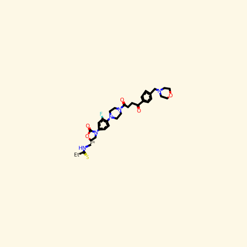 CCC(=S)NC[C@H]1CN(c2ccc(N3CCN(C(=O)CCC(=O)c4ccc(CN5CCOCC5)cc4)CC3)c(F)c2)C(=O)O1